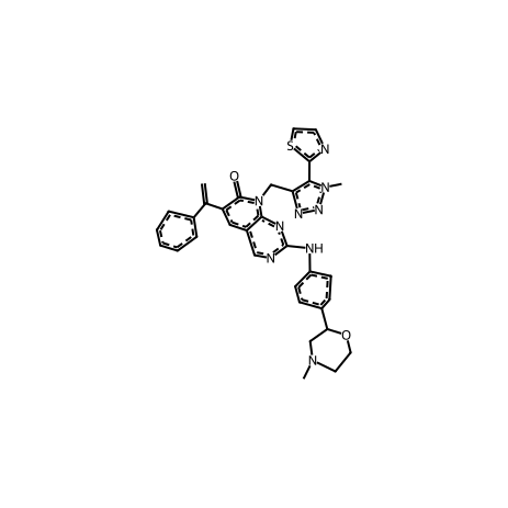 C=C(c1ccccc1)c1cc2cnc(Nc3ccc(C4CN(C)CCO4)cc3)nc2n(Cc2nnn(C)c2-c2nccs2)c1=O